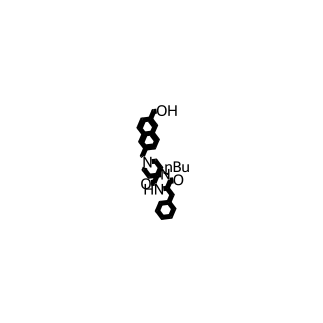 CCCCN1C(=O)C(CC2CCCCC2)NC(=O)C12CCN(Cc1ccc3cc(CO)ccc3c1)CC2